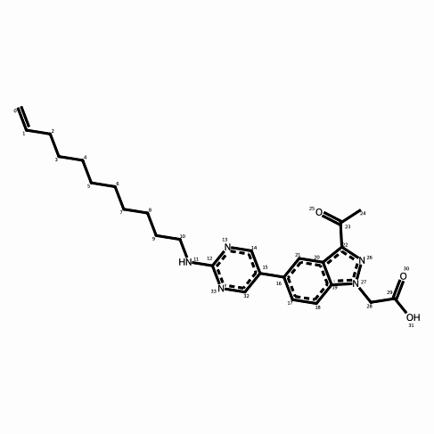 C=CCCCCCCCCCNc1ncc(-c2ccc3c(c2)c(C(C)=O)nn3CC(=O)O)cn1